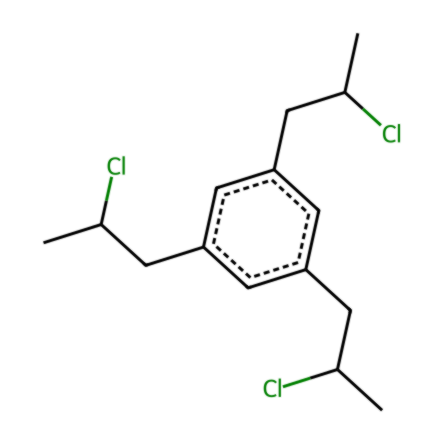 CC(Cl)Cc1cc(CC(C)Cl)cc(CC(C)Cl)c1